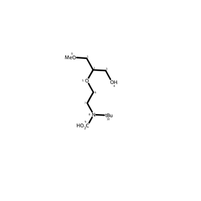 COCC(CO)OCCN(C(=O)O)C(C)(C)C